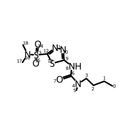 CCCCN(C)C(=O)Nc1nnc(S(=O)(=O)N(C)C)s1